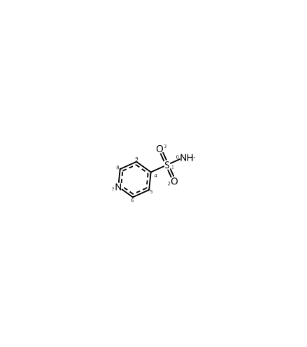 [NH]S(=O)(=O)c1ccncc1